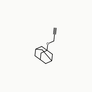 C#CCOC12CC3CC(CC(C3)C1)C2